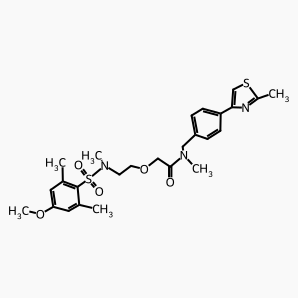 COc1cc(C)c(S(=O)(=O)N(C)CCOCC(=O)N(C)Cc2ccc(-c3csc(C)n3)cc2)c(C)c1